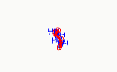 O=C1CCC(N2C(=O)c3cccc(NCCCCCCNC(=O)c4ccc(-c5ncc(NCc6ccco6)n6cnnc56)cc4)c3C2=O)C(=O)N1